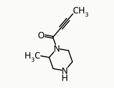 CC#CC(=O)N1CCNCC1C